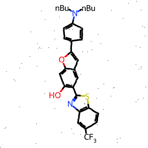 CCCCN(CCCC)c1ccc(-c2cc3cc(-c4nc5cc(C(F)(F)F)ccc5s4)c(O)cc3o2)cc1